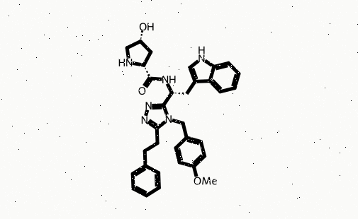 COc1ccc(Cn2c(CCc3ccccc3)nnc2[C@@H](Cc2c[nH]c3ccccc23)NC(=O)[C@H]2C[C@@H](O)CN2)cc1